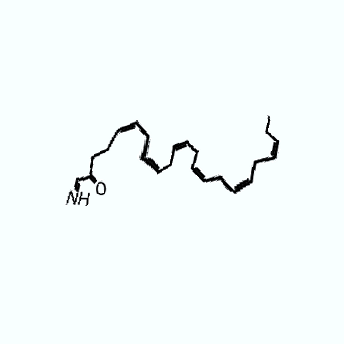 CC/C=C\C/C=C\C/C=C\C/C=C\C/C=C\C/C=C\CCC(=O)C=N